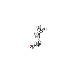 O=C(NCC12CC3CC(CC(C3)C1)C2)Nc1cccc(CCNC[C@@H](O)c2ccc(O)c3[nH]c(=O)ccc23)c1